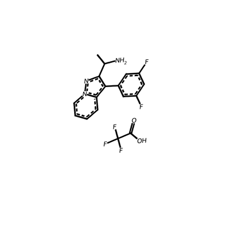 CC(N)c1nn2ccccc2c1-c1cc(F)cc(F)c1.O=C(O)C(F)(F)F